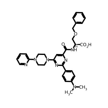 CN(C)c1ccc(-c2nc(C(=O)N[C@@H](COCc3ccccc3)C(=O)O)cc(N3CCN(c4ccccn4)CC3)n2)cc1